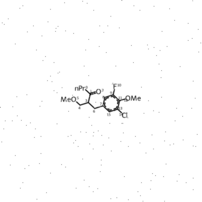 CCCC(=O)C(COC)Cc1cc(F)c(OC)c(Cl)c1